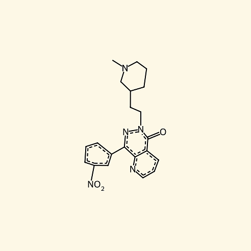 CN1CCCC(CCn2nc(-c3cccc([N+](=O)[O-])c3)c3ncccc3c2=O)C1